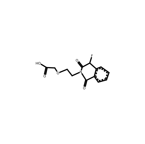 O=C(O)COCCN1C(=O)c2ccccc2C(F)C1=O